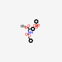 CC(C)(C)OC(=O)C(CNC(=O)OCc1ccccc1)c1cccc(OS(=O)(=O)c2ccccc2)c1